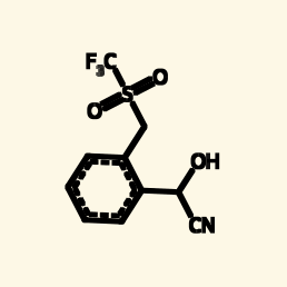 N#CC(O)c1ccccc1CS(=O)(=O)C(F)(F)F